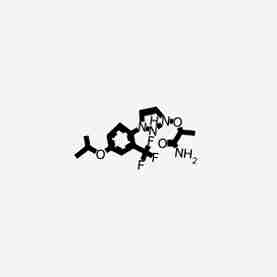 CC(C)Oc1ccc(N2C=CN(OC(C)C(N)=O)N2)c(C(F)(F)F)c1